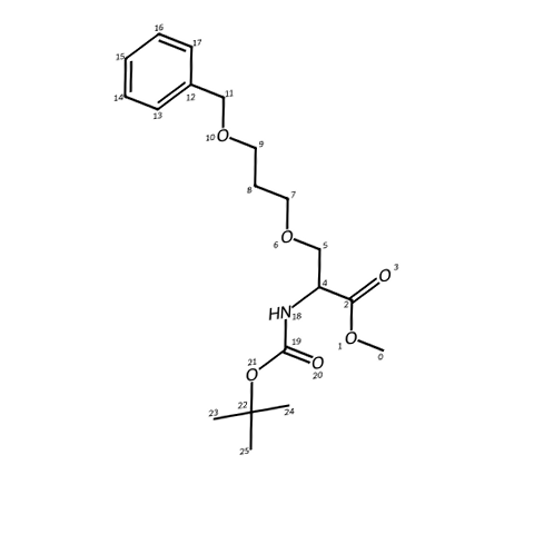 COC(=O)C(COCCCOCc1ccccc1)NC(=O)OC(C)(C)C